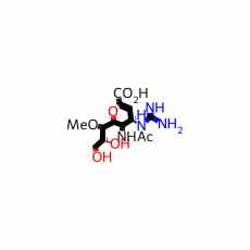 COC(C1OC(C(=O)O)=C[C@H](NC(=N)N)C1NC(C)=O)[C@H](O)CO